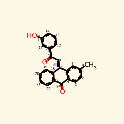 Cc1ccc2c(c1)/C(=C/C(=O)c1cccc(O)c1)c1ccccc1C2=O